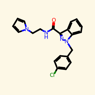 O=C(NCCn1cccc1)c1nn(Cc2ccc(Cl)cc2)c2ccccc12